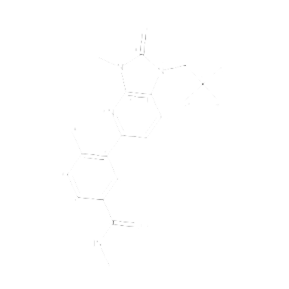 CNC(=O)c1ccc(C)c(-c2ccc3c(n2)n(C)c(=O)n3CC(C)(C)C)c1